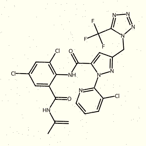 C=C(C)NC(=O)c1cc(Cl)cc(Cl)c1NC(=O)c1cc(Cn2nnnc2C(F)(F)F)nn1-c1ncccc1Cl